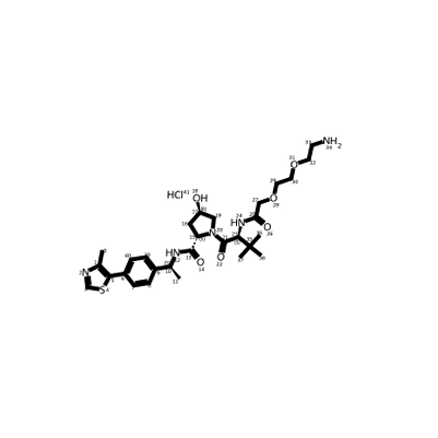 Cc1ncsc1-c1ccc([C@H](C)NC(=O)[C@@H]2C[C@@H](O)CN2C(=O)[C@@H](NC(=O)COCCOCCN)C(C)(C)C)cc1.Cl